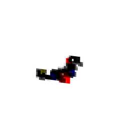 COc1ccc2c(c1)C(CCC[C@@H]1CCN(CC#Cc3cccs3)C[C@@H]1C(=O)O)C(=O)C=N2